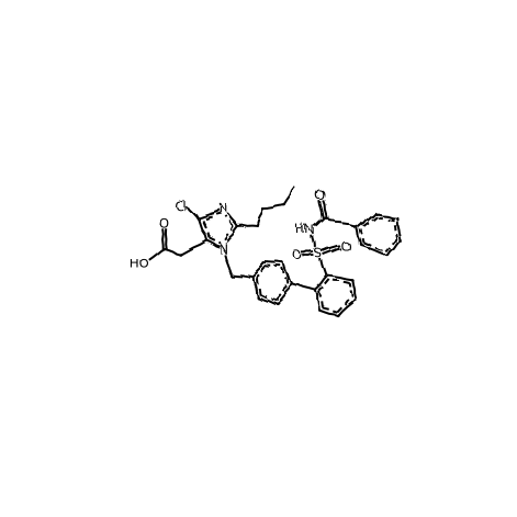 CCCCc1nc(Cl)c(CC(=O)O)n1Cc1ccc(-c2ccccc2S(=O)(=O)NC(=O)c2ccccc2)cc1